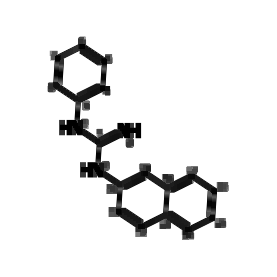 N=C(Nc1ccccc1)Nc1ccc2ccccc2c1